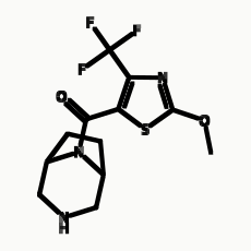 COc1nc(C(F)(F)F)c(C(=O)N2C3CCC2CNC3)s1